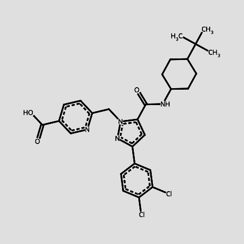 CC(C)(C)C1CCC(NC(=O)c2cc(-c3ccc(Cl)c(Cl)c3)nn2Cc2ccc(C(=O)O)cn2)CC1